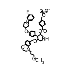 COCCCN1CCOc2ccc(COC3CNCC(OC(=O)c4ccc(CO[N+](=O)[O-])cc4)C3c3ccc(OC4CCN(c5cccc(F)c5)C4)cc3)cc21